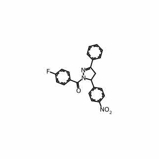 O=C(c1ccc(F)cc1)N1N=C(c2ccccc2)CC1c1ccc([N+](=O)[O-])cc1